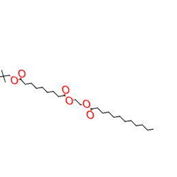 CCCCCCCCCCCC(=O)OCCOC(=O)CCCCCCCC(=O)OCC(C)(C)C